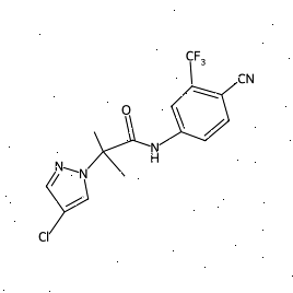 CC(C)(C(=O)Nc1ccc(C#N)c(C(F)(F)F)c1)n1cc(Cl)cn1